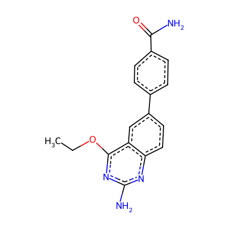 CCOc1nc(N)nc2ccc(-c3ccc(C(N)=O)cc3)cc12